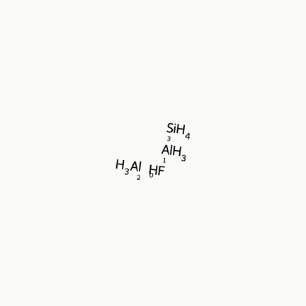 F.[AlH3].[AlH3].[SiH4]